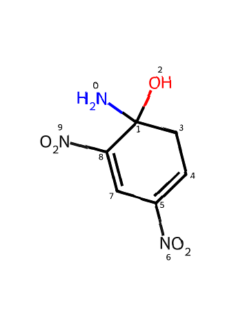 NC1(O)CC=C([N+](=O)[O-])C=C1[N+](=O)[O-]